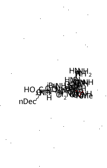 CCCCCCCCCCCCCCCC(=O)N[C@@H](CCC(=O)NCCCC[C@H](NC(=O)[C@@H](N)[C@@H](C)CC)C(=O)N1CCN(c2ccc3ncn(CC(=O)N[C@@H](CCCNC(=N)N)C(=O)N[C@@H](Cc4c[nH]cn4)C(=O)N[C@@H](Cc4ccc(O)cc4)C(=O)N[C@@H](CC(C)C)C(=O)N[C@@H](CC(N)=O)C(=O)N[C@@H](Cc4c[nH]c5ccccc45)C(=O)NC)c(=O)c3c2)CC1)C(=O)O